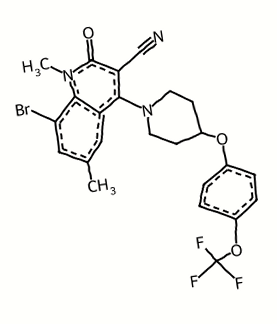 Cc1cc(Br)c2c(c1)c(N1CCC(Oc3ccc(OC(F)(F)F)cc3)CC1)c(C#N)c(=O)n2C